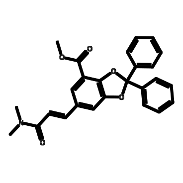 COC(=O)c1cc(/C=C/C(=O)N(C)C)cc2c1OC(c1ccccc1)(c1ccccc1)O2